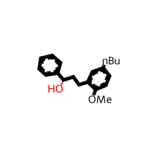 CCCCc1ccc(OC)c(CC[C@H](O)c2ccccc2)c1